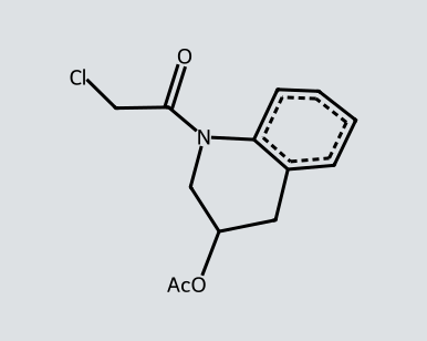 CC(=O)OC1Cc2ccccc2N(C(=O)CCl)C1